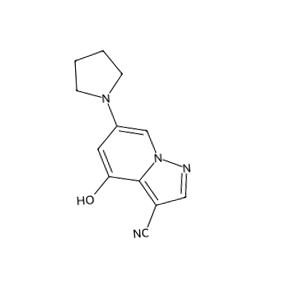 N#Cc1cnn2cc(N3CCCC3)cc(O)c12